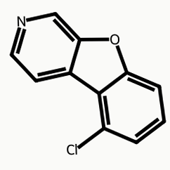 Clc1cccc2oc3cnccc3c12